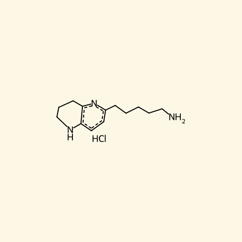 Cl.NCCCCCc1ccc2c(n1)CCCN2